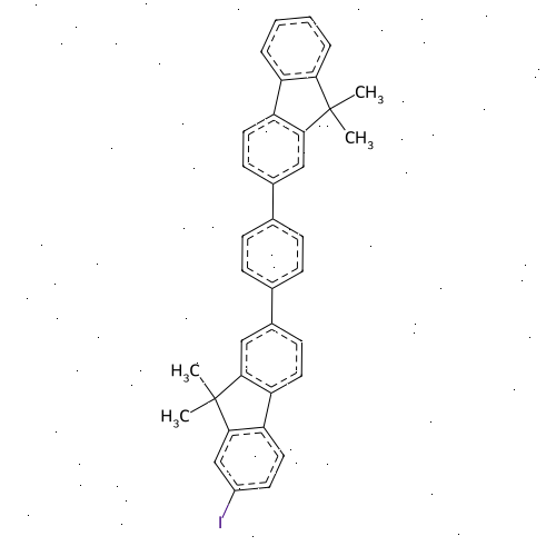 CC1(C)c2ccccc2-c2ccc(-c3ccc(-c4ccc5c(c4)C(C)(C)c4cc(I)ccc4-5)cc3)cc21